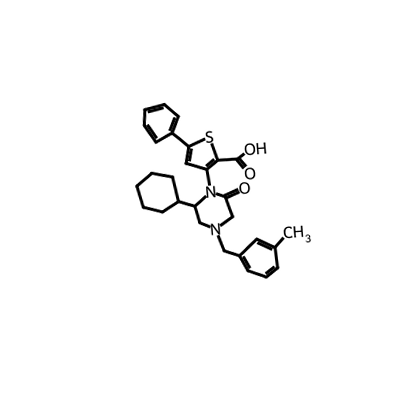 Cc1cccc(CN2CC(=O)N(c3cc(-c4ccccc4)sc3C(=O)O)C(C3CCCCC3)C2)c1